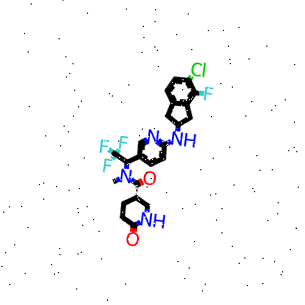 CN(C(=O)[C@H]1CCC(=O)NC1)C(c1ccc(NC2Cc3ccc(Cl)c(F)c3C2)nc1)C(F)(F)F